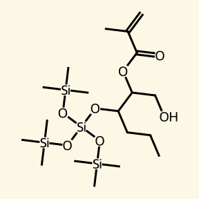 C=C(C)C(=O)OC(CO)C(CCC)O[Si](O[Si](C)(C)C)(O[Si](C)(C)C)O[Si](C)(C)C